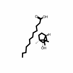 CC1(C)[C@@H]2CC[C@]1(C)[C@@H](O)C2.CCCCCCCCCCCC(=O)O